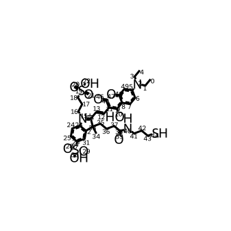 CCN(CC)c1ccc2c(O)c(/C=C/C3=[N+](CCCS(=O)(=O)O)c4ccc(S(=O)(=O)O)cc4C3(C)CCCC(=O)NCCCS)c(=O)oc2c1